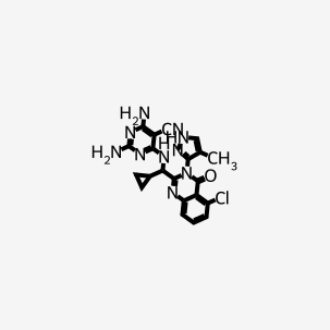 Cc1c[nH]nc1-n1c(C(Nc2nc(N)nc(N)c2C#N)C2CC2)nc2cccc(Cl)c2c1=O